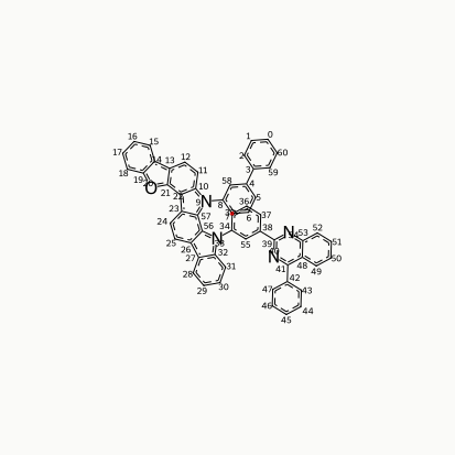 c1ccc(-c2cccc(-n3c4ccc5c6ccccc6oc5c4c4ccc5c6ccccc6n(-c6cccc(-c7nc(-c8ccccc8)c8ccccc8n7)c6)c5c43)c2)cc1